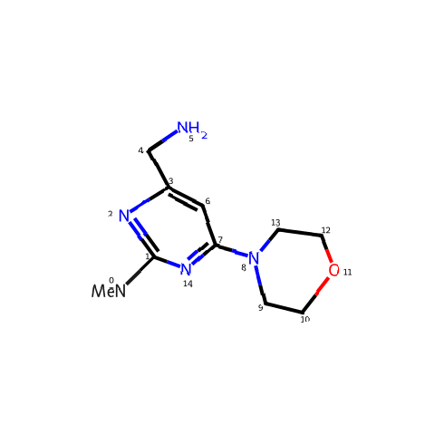 CNc1nc(CN)cc(N2CCOCC2)n1